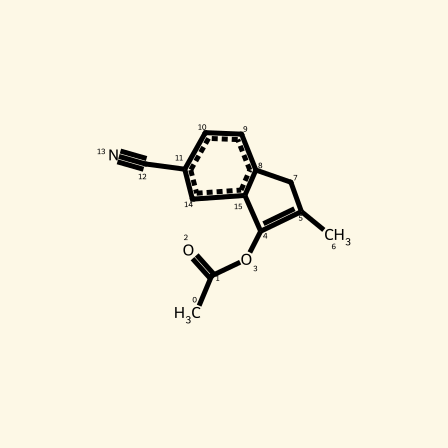 CC(=O)OC1=C(C)Cc2ccc(C#N)cc21